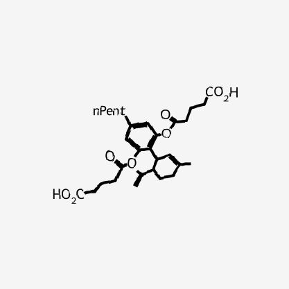 C=C(C)C1CCC(C)=CC1c1c(OC(=O)CCCC(=O)O)cc(CCCCC)cc1OC(=O)CCCC(=O)O